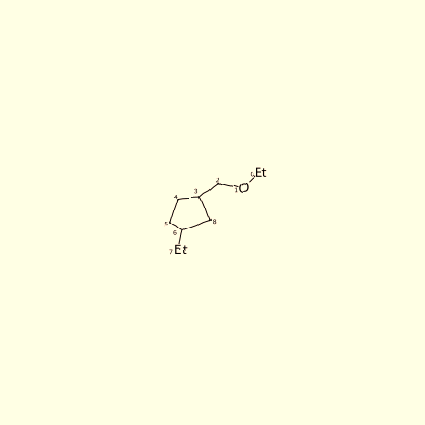 CCOCC1CCC(CC)C1